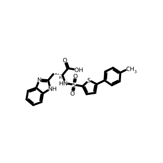 Cc1ccc(-c2ccc(S(=O)(=O)N[C@H](Cc3nc4ccccc4[nH]3)C(=O)O)s2)cc1